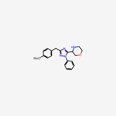 COc1ccc(Cc2nc(C3COCCN3)n(-c3ccccc3)n2)cc1